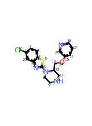 Clc1ccc2sc(N3CCNCC3COc3cccnc3)nc2c1